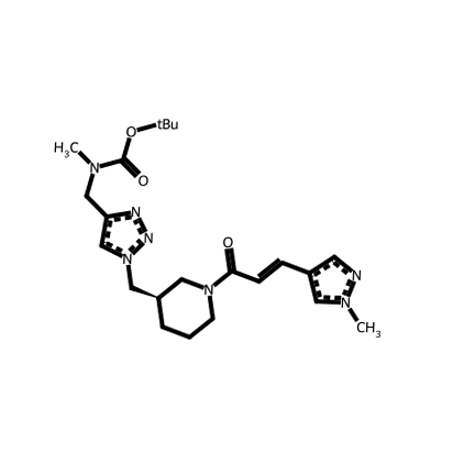 CN(Cc1cn(C[C@@H]2CCCN(C(=O)/C=C/c3cnn(C)c3)C2)nn1)C(=O)OC(C)(C)C